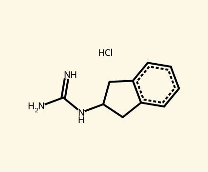 Cl.N=C(N)NC1Cc2ccccc2C1